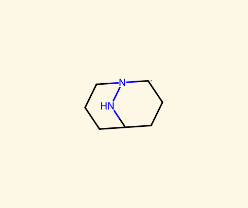 [CH]1CCC2CCCN1N2